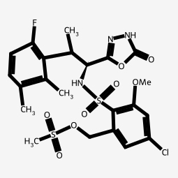 COc1cc(Cl)cc(COS(C)(=O)=O)c1S(=O)(=O)N[C@H](c1n[nH]c(=O)o1)C(C)c1c(F)ccc(C)c1C